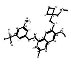 COCC1(COc2cc3c(NCc4cc(N)cc(C(F)(F)F)c4)nc(C)nc3cc2OC)CCC1